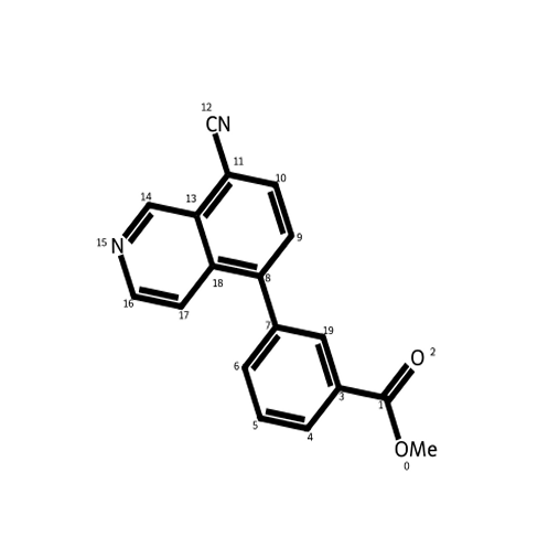 COC(=O)c1cccc(-c2ccc(C#N)c3cnccc23)c1